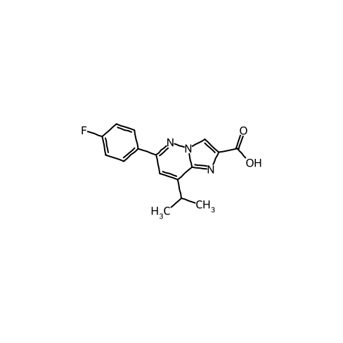 CC(C)c1cc(-c2ccc(F)cc2)nn2cc(C(=O)O)nc12